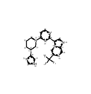 FC(F)(F)c1cn2c(-c3nccc(N4CCC[C@H](c5c[nH]cn5)C4)n3)cnc2cn1